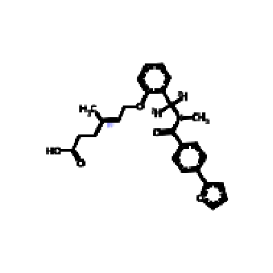 [2H]C([2H])(c1ccccc1OC/C=C(\C)CCC(=O)O)N(C)C(=O)c1ccc(-c2ccco2)cc1